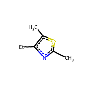 CCc1nc(C)sc1C